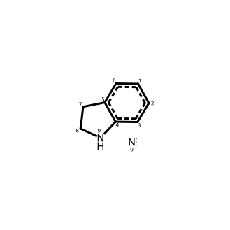 [N].c1ccc2c(c1)CCN2